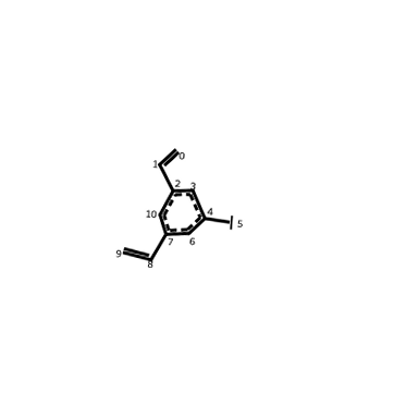 C=Cc1cc(I)cc(C=C)c1